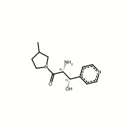 CC1CCN(C(=O)[C@H](N)[C@@H](O)c2ccncc2)C1